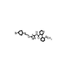 COc1ccccc1-c1cnccc1C(=O)Nc1nnc(OCCOc2ccc(Br)cc2)s1